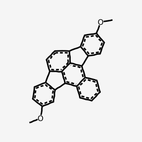 COc1ccc2c(c1)-c1ccc3c4c(c5ccccc5c-2c14)-c1cc(OC)ccc1-3